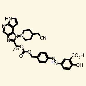 C[C@@H](OC(=O)OCc1ccc(/N=N/c2ccc(O)c(C(=O)O)c2)cc1)c1nc2cnc3[nH]ccc3c2n1N1CCC(CC#N)CC1